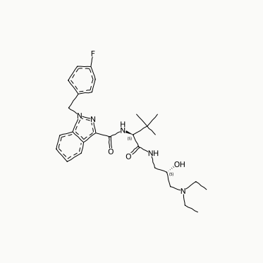 CCN(CC)C[C@@H](O)CNC(=O)[C@@H](NC(=O)c1nn(Cc2ccc(F)cc2)c2ccccc12)C(C)(C)C